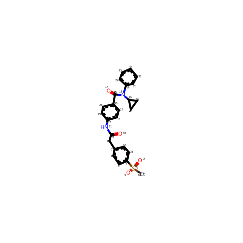 CCS(=O)(=O)c1ccc(CC(=O)Nc2ccc(C(=O)N(c3ccccc3)C3CC3)cc2)cc1